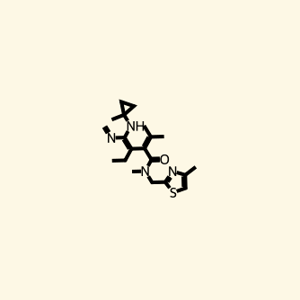 C=N/C(NC1(C)CC1)=C(\CC)C(C(=O)N(C)Cc1nc(C)cs1)=C(C)C